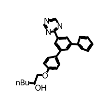 CCCCC(O)COc1ccc(-c2cc(-c3ccccc3)cc(-c3ncncn3)c2)cc1